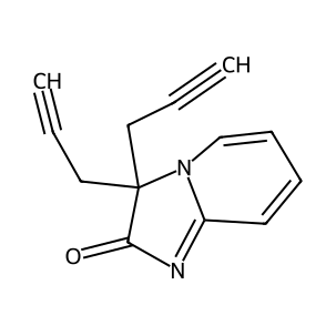 C#CCC1(CC#C)C(=O)N=C2C=CC=CN21